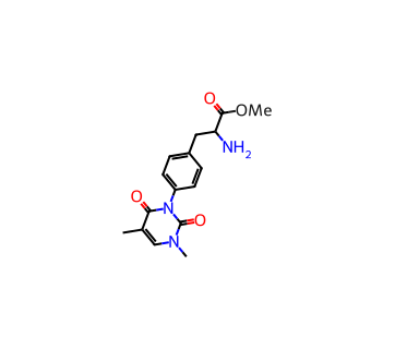 COC(=O)C(N)Cc1ccc(-n2c(=O)c(C)cn(C)c2=O)cc1